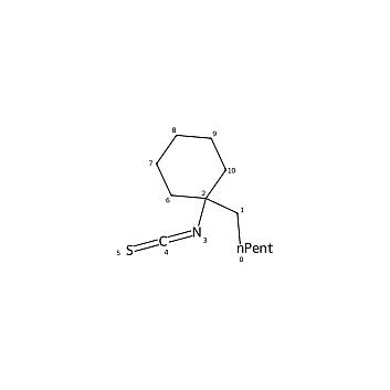 CCCCCCC1(N=C=S)CCCCC1